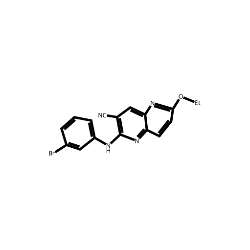 CCOc1ccc2nc(Nc3cccc(Br)c3)c(C#N)cc2n1